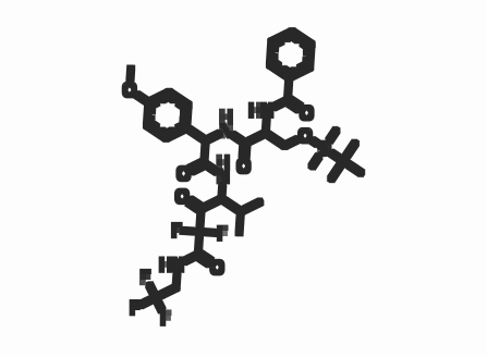 COc1ccc(C(NC(=O)C(CO[Si](C)(C)C(C)(C)C)NC(=O)c2ccccc2)C(=O)NC(C(=O)C(F)(F)C(=O)NCC(F)(F)F)C(C)C)cc1